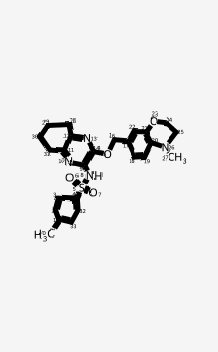 Cc1ccc(S(=O)(=O)Nc2nc3c(nc2OCc2ccc4c(c2)OCCN4C)CCCC3)cc1